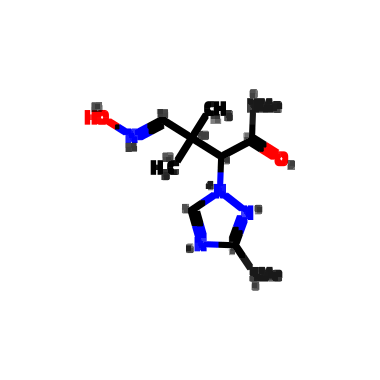 CNC(=O)C(n1cnc(SC)n1)C(C)(C)C=NO